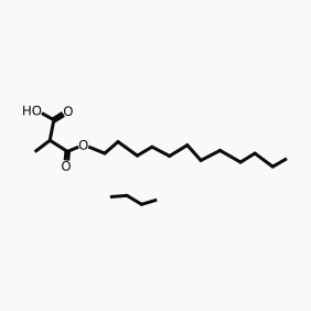 CCCC.CCCCCCCCCCCCOC(=O)C(C)C(=O)O